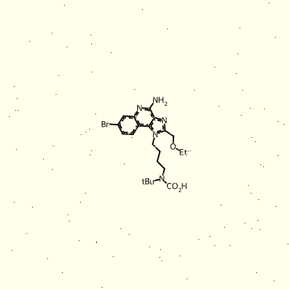 CCOCc1nc2c(N)nc3cc(Br)ccc3c2n1CCCCN(C(=O)O)C(C)(C)C